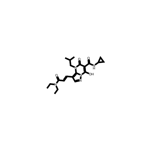 CCN(CC)C(=O)/C=C/c1cnn2c(O)c(C(=O)NC3CC3)c(=O)n(CC(C)C)c12